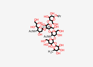 CC(=O)NC1[C@@H](O[C@H]2C(CO)O[C@@H](O[C@@H]3C(CO)O[C@@H](OC(C)C)[C@@H](O)C3O)C(O)C2O[C@]2(C(=O)O)C[C@@H](O)[C@@H](NC(C)=O)C([C@H](O)[C@H](O)CO)O2)OC(CO)[C@H](O)[C@@H]1O[C@@H]1OC(CO)[C@H](O)C(O)[C@@H]1O[C@@H]1OC(C)[C@@H](O)[C@H](O)C1O